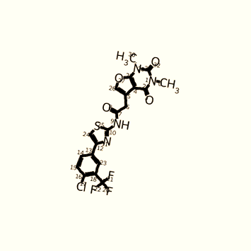 Cn1c(=O)c2c(CC(=O)Nc3nc(-c4ccc(Cl)c(C(F)(F)F)c4)cs3)coc2n(C)c1=O